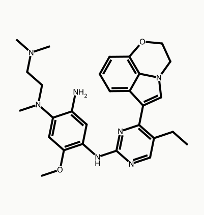 CCc1cnc(Nc2cc(N)c(N(C)CCN(C)C)cc2OC)nc1-c1cn2c3c(cccc13)OCC2